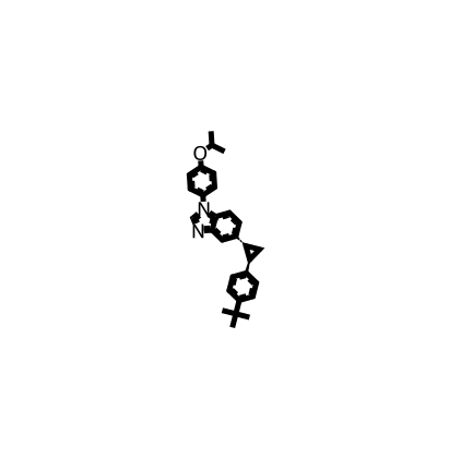 CC(C)Oc1ccc(-n2cnc3cc([C@@H]4C[C@H]4c4ccc(C(C)(C)C)cc4)ccc32)cc1